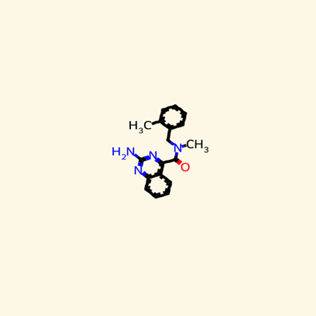 Cc1ccccc1CN(C)C(=O)c1nc(N)nc2ccccc12